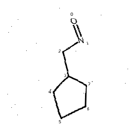 O=NCC1CCCC1